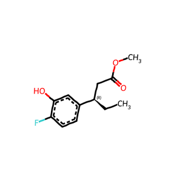 CC[C@H](CC(=O)OC)c1ccc(F)c(O)c1